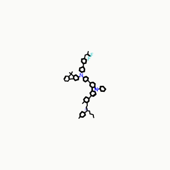 CCCC/C(=C\Cc1cc(-c2c#cc3c(c2)c2cc(-c4ccc(N(c5ccc(-c6ccc(CC(C)=C(F)F)cc6)cc5)c5ccc6c(c5)C(C)(C)C5=C6CCC=C5)cc4)ccc2n3-c2ccccc2)ccc1C)c1ccc(C)cc1